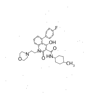 CC1CCC(NC(=O)c2c(O)c3c(-c4ccc(F)cc4)cccc3n(CCN3CCOCC3)c2=O)CC1